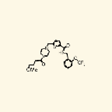 COCCCC(=O)N1CCN(Cc2ccc(C(=O)NCc3ccccc3OC(F)(F)F)s2)CC1